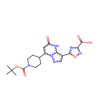 CC(C)(C)OC(=O)N1CCC(c2cc(=O)[nH]c3c(-c4nc(C(=O)O)no4)cnn23)CC1